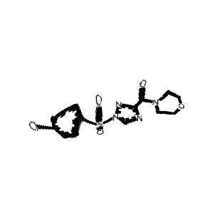 O=C(c1ncn(S(=O)(=O)c2ccc(Cl)cc2)n1)N1CCOCC1